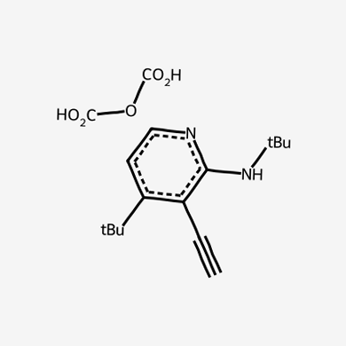 C#Cc1c(C(C)(C)C)ccnc1NC(C)(C)C.O=C(O)OC(=O)O